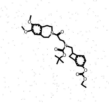 CCOC(=O)Oc1ccc2c(c1)CC2CN(CCC(=O)N1CCc2cc(OC)c(OC)cc2CC1)C(=O)OC(C)(C)C